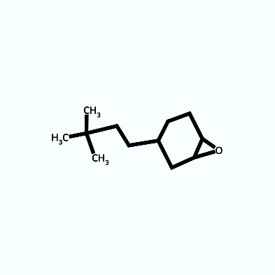 CC(C)(C)CCC1CCC2OC2C1